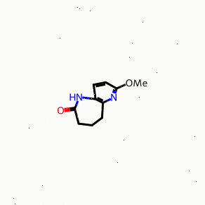 COc1ccc2c(n1)CCCC(=O)N2